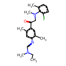 CCN(C)C=Nc1cc(C)c(C(=O)CN(C)c2c(C)cccc2F)cc1C